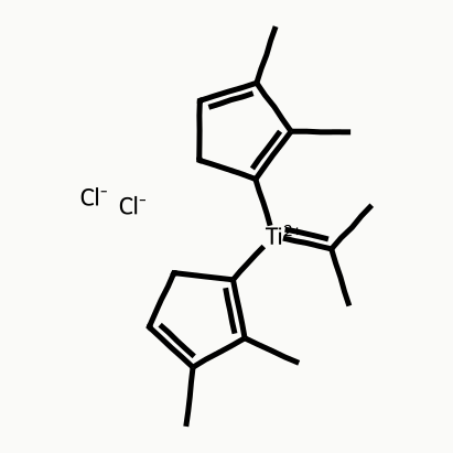 CC1=CC[C]([Ti+2]([C]2=C(C)C(C)=CC2)=[C](C)C)=C1C.[Cl-].[Cl-]